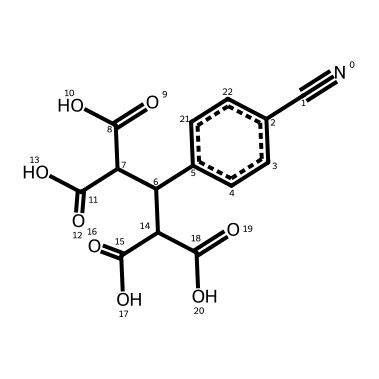 N#Cc1ccc(C(C(C(=O)O)C(=O)O)C(C(=O)O)C(=O)O)cc1